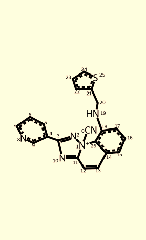 N#C[N+]12N=C(c3cccnc3)N=C1C=Cc1cccc(NCc3cccs3)c12